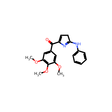 COc1cc(C(=O)C2=CCC(Nc3ccccc3)=N2)cc(OC)c1OC